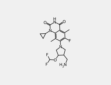 Cc1c(F)c(N2CC(CN)C(OC(F)F)C2)c(C)c2c1c(=O)[nH]c(=O)n2C1CC1